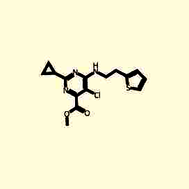 COC(=O)c1nc(C2CC2)nc(NCCc2cccs2)c1Cl